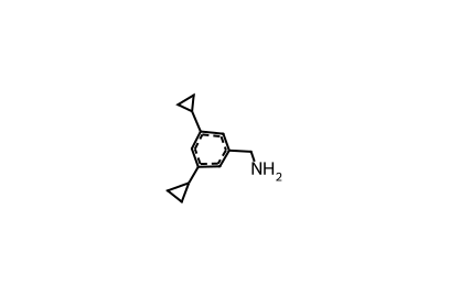 NCc1cc(C2CC2)cc(C2CC2)c1